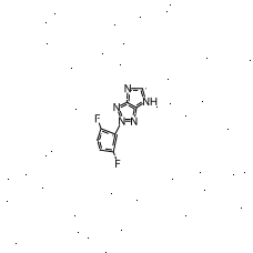 Fc1ccc(F)c(-n2nc3n[c][nH]c3n2)c1